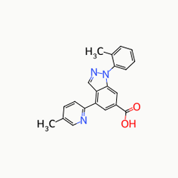 Cc1ccc(-c2cc(C(=O)O)cc3c2cnn3-c2ccccc2C)nc1